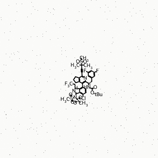 CC(C)(C)OC(=O)N[C@H](Cc1cc(F)cc(F)c1)c1nc(C#CC(C)(C)S(C)(=O)=O)c2c(c1-c1ccc(Cl)c3c(N(S(C)(=O)=O)S(C)(=O)=O)nn(CC(F)(F)F)c13)CCC2